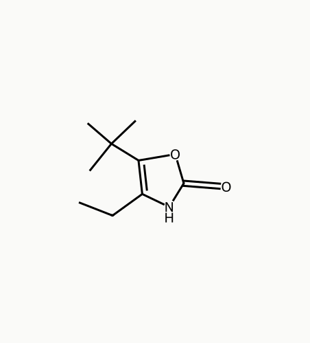 CCc1[nH]c(=O)oc1C(C)(C)C